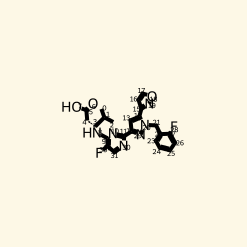 CC(C)[C@@H](CC(=O)O)Nc1nc(-c2cc(-c3ccon3)n(Cc3ccccc3F)n2)ncc1F